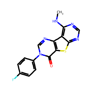 CNc1ncnc2sc3c(=O)n(-c4ccc(F)cc4)cnc3c12